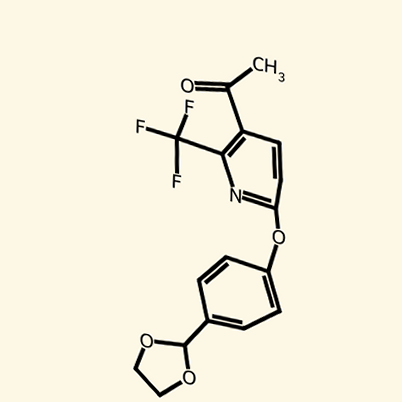 CC(=O)c1ccc(Oc2ccc(C3OCCO3)cc2)nc1C(F)(F)F